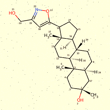 C[C@@]1(O)CC[C@@]2(C)[C@@H](CC[C@@H]3[C@@H]2CC[C@]2(C)C(c4cc(CO)no4)CC[C@@H]32)C1